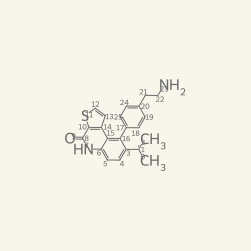 C[C](C)c1ccc2[nH]c(=O)c3sccc3c2c1-c1ccc(CCN)cc1